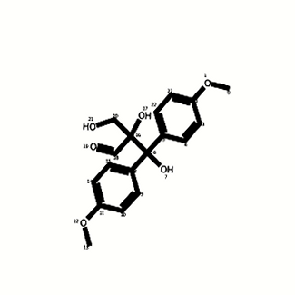 COc1ccc(C(O)(c2ccc(OC)cc2)C(O)(C=O)CO)cc1